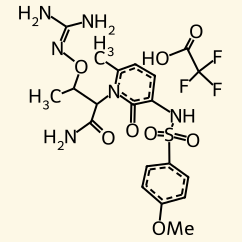 COc1ccc(S(=O)(=O)Nc2ccc(C)n(C(C(N)=O)C(C)ON=C(N)N)c2=O)cc1.O=C(O)C(F)(F)F